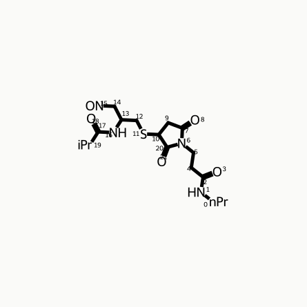 CCCNC(=O)CCN1C(=O)CC(SCC(CN=O)NC(=O)C(C)C)C1=O